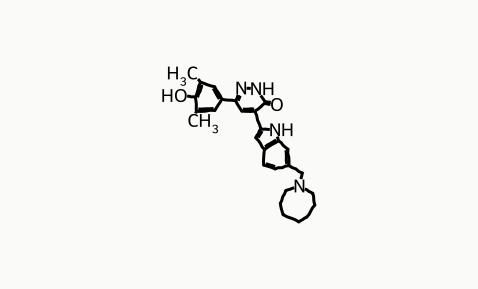 Cc1cc(-c2cc(-c3cc4ccc(CN5CCCCCCC5)cc4[nH]3)c(=O)[nH]n2)cc(C)c1O